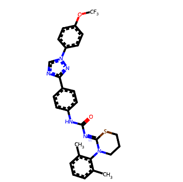 Cc1cccc(C)c1N1CCCS/C1=N\C(=O)Nc1ccc(-c2ncn(-c3ccc(OC(F)(F)F)cc3)n2)cc1